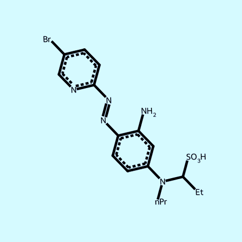 CCCN(c1ccc(/N=N/c2ccc(Br)cn2)c(N)c1)C(CC)S(=O)(=O)O